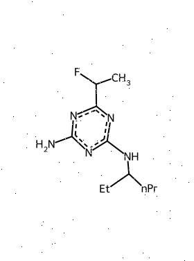 CCCC(CC)Nc1nc(N)nc(C(C)F)n1